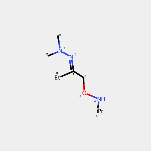 CC/C(CONC(C)C)=N\N(C)C